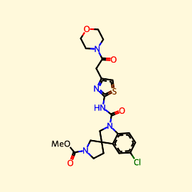 COC(=O)N1CCC2(C1)CN(C(=O)Nc1nc(CC(=O)N3CCOCC3)cs1)c1ccc(Cl)cc12